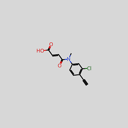 C#Cc1ccc(N(C)C(=O)/C=C/C(=O)O)cc1Cl